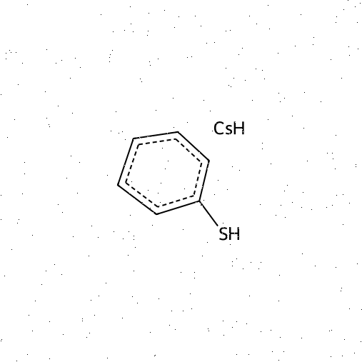 Sc1ccccc1.[CsH]